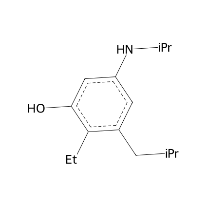 CCc1c(O)cc(NC(C)C)cc1CC(C)C